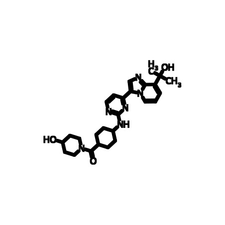 CC(C)(O)c1cccn2c(-c3ccnc(NC4CCC(C(=O)N5CCC(O)CC5)CC4)n3)cnc12